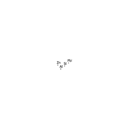 [Al].[Pb].[Si].[Zn]